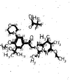 CCOc1nn2c(=NC)n(CC(=O)c3cc(N4CCOCC4)c(OC)c(C(C)(C)C)c3)nc2c(C)c1C.O=C(O)C(F)(F)F